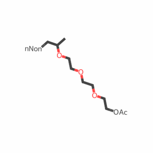 CCCCCCCCCCC(C)OCCOCCOCCOC(C)=O